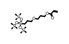 C=CC(=O)OCCCOCCC[Si](O[Si](C)(C)C)(O[Si](C)(C)C)O[Si](C)(C)C